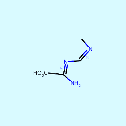 C/N=C\N=C(/N)C(=O)O